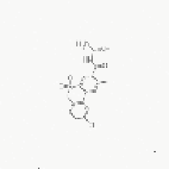 Cc1cc2c(cc1C(=O)NC(=N)N)S(=O)(=O)Cc1ccc(Cl)cc1-2